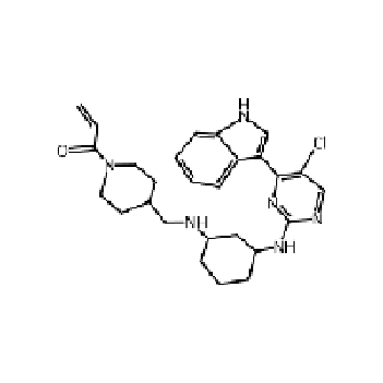 C=CC(=O)N1CCC(CNC2CCCC(Nc3ncc(Cl)c(-c4c[nH]c5ccccc45)n3)C2)CC1